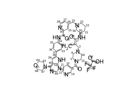 C=C(CN1CCN(C(=O)c2cccnc2)CC1)C(=O)N[C@@H]1CCCN(Cc2ccnc(C(=O)Nc3ccc(-c4cc5c(N6CCOCC6)ncnc5[nH]4)cc3)c2)C1.O=C(O)C(F)(F)F